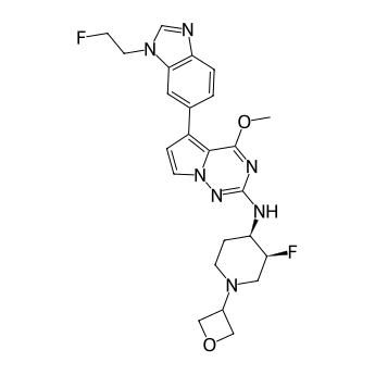 COc1nc(N[C@@H]2CCN(C3COC3)C[C@@H]2F)nn2ccc(-c3ccc4ncn(CCF)c4c3)c12